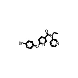 CCN(C(=O)c1ccc(Oc2ccc(Br)cc2)nc1)c1cccnc1